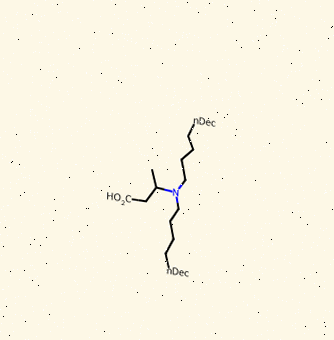 CCCCCCCCCCCCCCN(CCCCCCCCCCCCCC)C(C)CC(=O)O